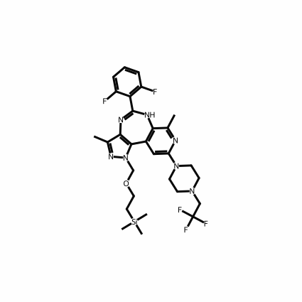 Cc1nn(COCC[Si](C)(C)C)c2c1N=C(c1c(F)cccc1F)Nc1c-2cc(N2CCN(CC(F)(F)F)CC2)nc1C